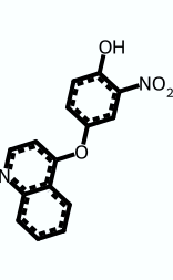 O=[N+]([O-])c1cc(Oc2ccnc3ccccc23)ccc1O